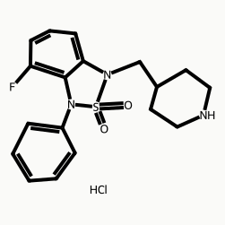 Cl.O=S1(=O)N(CC2CCNCC2)c2cccc(F)c2N1c1ccccc1